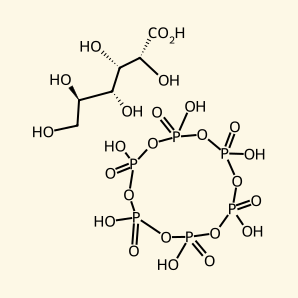 O=C(O)[C@H](O)[C@@H](O)[C@H](O)[C@H](O)CO.O=P1(O)OP(=O)(O)OP(=O)(O)OP(=O)(O)OP(=O)(O)OP(=O)(O)O1